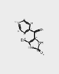 CCc1[nH]c(=O)[nH]c1C(=O)c1ccncc1